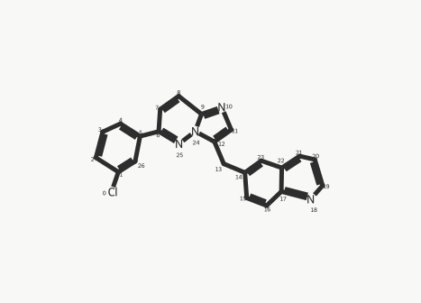 Clc1cccc(-c2ccc3ncc(Cc4ccc5ncccc5c4)n3n2)c1